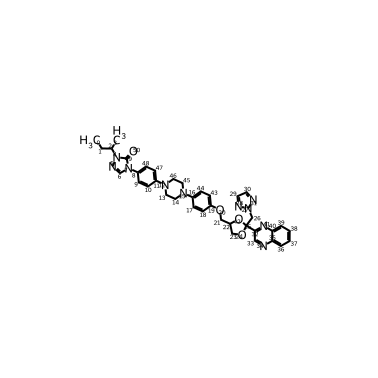 CCC(C)n1ncn(-c2ccc(N3CCN(c4ccc(OCC5COC(Cn6nccn6)(c6cnc7ccccc7n6)O5)cc4)CC3)cc2)c1=O